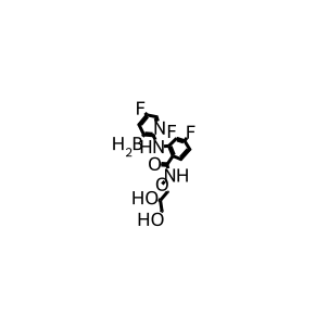 Bc1cc(F)cnc1Nc1c(C(=O)NOCC(O)CO)ccc(F)c1F